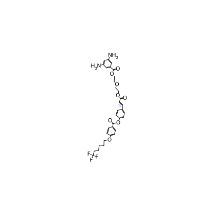 Nc1cc(N)cc(C(=O)OCCOCCOC(=O)/C=C/c2ccc(OC(=O)c3ccc(OCCCCCC(F)(F)F)cc3)cc2)c1